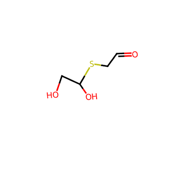 O=CCSC(O)CO